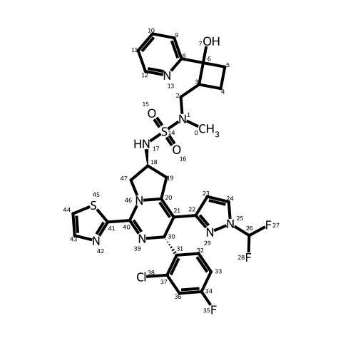 CN(CC1CCC1(O)c1ccccn1)S(=O)(=O)N[C@H]1CC2=C(c3ccn(C(F)F)n3)[C@H](c3ccc(F)cc3Cl)N=C(c3nccs3)N2C1